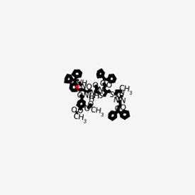 CC(=O)Oc1ccc(C(=O)NC(C(=O)N[C@@H]2C(=O)N3C(C(=O)OC(c4ccccc4)c4ccccc4)=C(CSc4cc(C)nc5nc(C(=O)OC(c6ccccc6)c6ccccc6)nn45)CS[C@H]23)c2csc(NC(c3ccccc3)(c3ccccc3)c3ccccc3)n2)cc1OC(C)=O